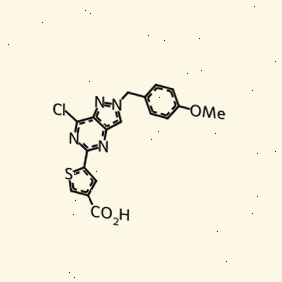 COc1ccc(Cn2cc3nc(-c4cc(C(=O)O)cs4)nc(Cl)c3n2)cc1